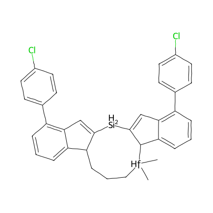 [CH3][Hf]1([CH3])[CH2]CCC2C(=Cc3c(-c4ccc(Cl)cc4)cccc32)[SiH2]C2=Cc3c(-c4ccc(Cl)cc4)cccc3[CH]21